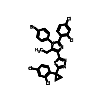 CCc1c(-c2nnc(C3(c4ccc(Cl)cc4Cl)CC3)s2)nc(-c2ccc(Cl)cc2Cl)n1-c1ccc(Br)cc1